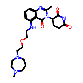 Cc1nc2cccc(NCCOCCN3CCCN(C)CC3)c2c(=O)n1C1CCC(=O)NC1=O